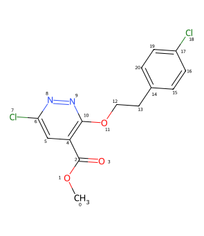 COC(=O)c1cc(Cl)nnc1OCCc1ccc(Cl)cc1